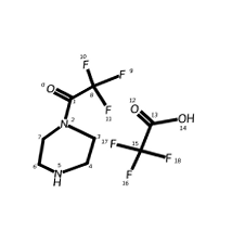 O=C(N1CCNCC1)C(F)(F)F.O=C(O)C(F)(F)F